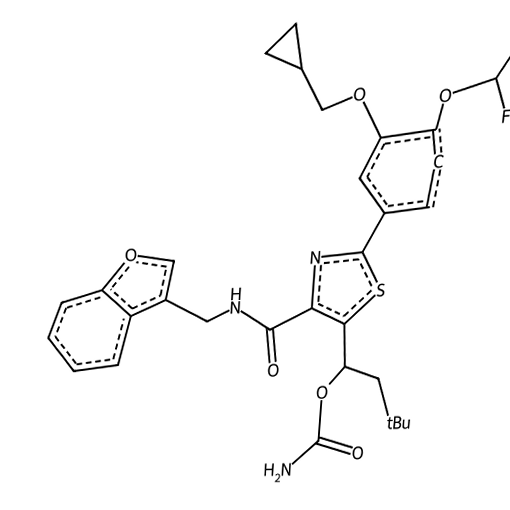 CC(C)(C)CC(OC(N)=O)c1sc(-c2ccc(OC(F)F)c(OCC3CC3)c2)nc1C(=O)NCc1coc2ccccc12